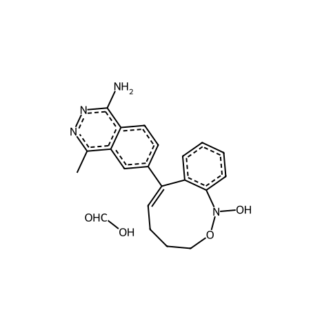 Cc1nnc(N)c2ccc(C3=CCCCON(O)c4ccccc43)cc12.O=CO